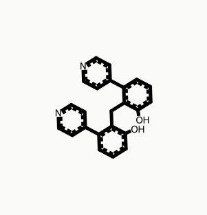 Oc1cccc(-c2ccncc2)c1Cc1c(O)cccc1-c1ccncc1